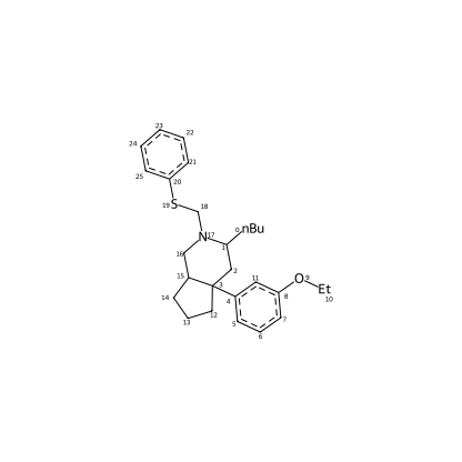 CCCCC1CC2(c3cccc(OCC)c3)CCCC2CN1CSc1ccccc1